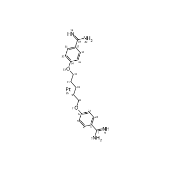 N=C(N)c1ccc(OCCCCCOc2ccc(C(=N)N)cc2)cc1.[Pt]